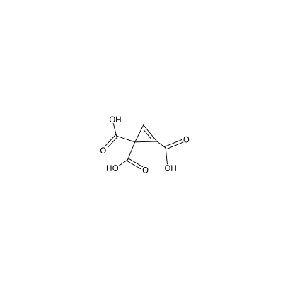 O=C(O)C1=CC1(C(=O)O)C(=O)O